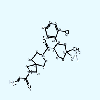 C=CC(=O)N1CC2(CCN(C(=O)[C@H]3CCC(C)(C)C[C@@H]3c3ccccc3Cl)CC2)C1